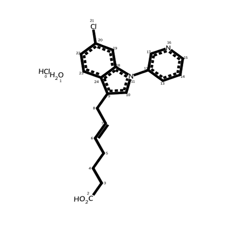 Cl.O.O=C(O)CCC/C=C/Cc1cn(-c2cccnc2)c2cc(Cl)ccc12